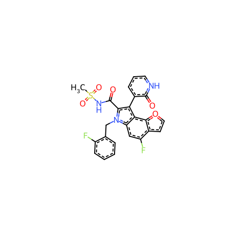 CS(=O)(=O)NC(=O)c1c(-c2ccc[nH]c2=O)c2c3occc3c(F)cc2n1Cc1ccccc1F